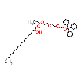 CCCCCCCCCCCCCCCCC(O)COC(CC)OCCOCCOCCOC(c1ccccc1)(c1ccccc1)c1ccccc1